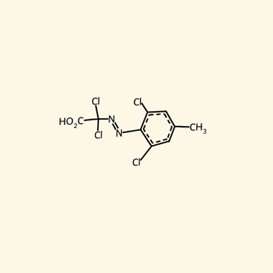 Cc1cc(Cl)c(N=NC(Cl)(Cl)C(=O)O)c(Cl)c1